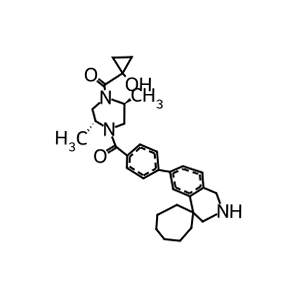 C[C@@H]1CN(C(=O)C2(O)CC2)[C@@H](C)CN1C(=O)c1ccc(-c2ccc3c(c2)C2(CCCCCC2)CNC3)cc1